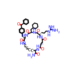 N=C(N)NCCC[C@@H]1NC(=O)/C=C/C(=O)NC(C(N)=O)CCCCNC(=O)[C@@H](Cc2ccc(C(=O)c3ccccc3)cc2)NC(=O)C(CC2CCCCC2)NC1=O